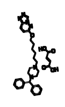 O=C(O)C=CC(=O)O.c1ccc(C(c2ccccc2)N2CCN(CCCCCCOc3ccc4nncn4n3)CC2)cc1